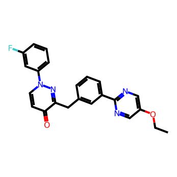 CCOc1cnc(-c2cccc(Cc3nn(-c4cccc(F)c4)ccc3=O)c2)nc1